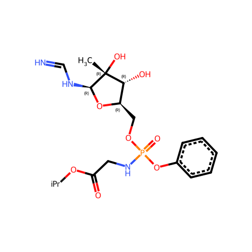 CC(C)OC(=O)CNP(=O)(OC[C@H]1O[C@@H](NC=N)[C@](C)(O)[C@@H]1O)Oc1ccccc1